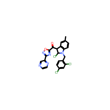 Cc1ccc2c(c1)C(C(=O)c1nc(-c3cnccn3)no1)C(Cl)N2Cc1ccc(Cl)cc1Cl